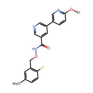 CCOc1ccc(-c2cncc(C(=O)NOCc3cc(OC)ccc3F)c2)cn1